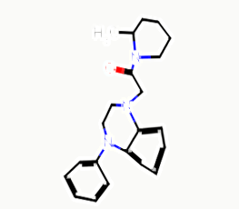 CC1CCCCN1C(=O)CN1CCN(c2ccccc2)c2ccccc21